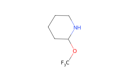 FC(F)(F)OC1CCCCN1